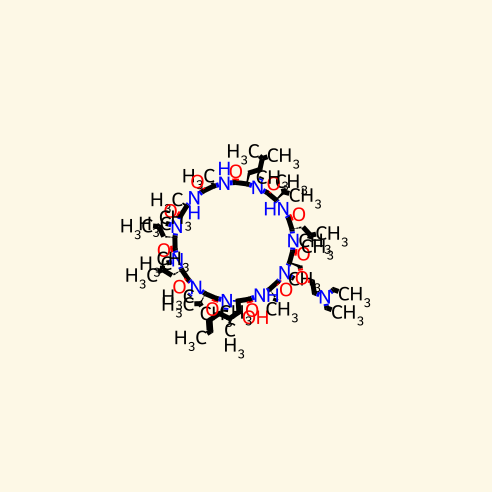 C/C=C/C[C@@H](C)[C@@H](O)[C@H]1C(=O)N[C@@H](CC)C(=O)N(C)[C@H](COCCN(CC)CC)C(=O)N(C)[C@@H](CC(C)C)C(=O)N[C@H](C(C)C)C(=O)N(C)[C@H](CCC(C)C)C(=O)N[C@H](C)C(=O)N[C@@H](C)C(=O)N(C)[C@@H](CC(C)C)C(=O)N(C)[C@@H](CC(C)C)C(=O)N(C)[C@@H](C(C)C)C(=O)N1C